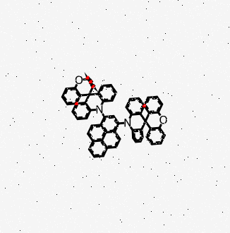 c1ccc2c(c1)Oc1ccccc1C21c2ccccc2N(c2cc(N3c4ccccc4C4(c5ccccc5Oc5ccccc54)c4ccccc43)c3ccc4cccc5ccc2c3c54)c2ccccc21